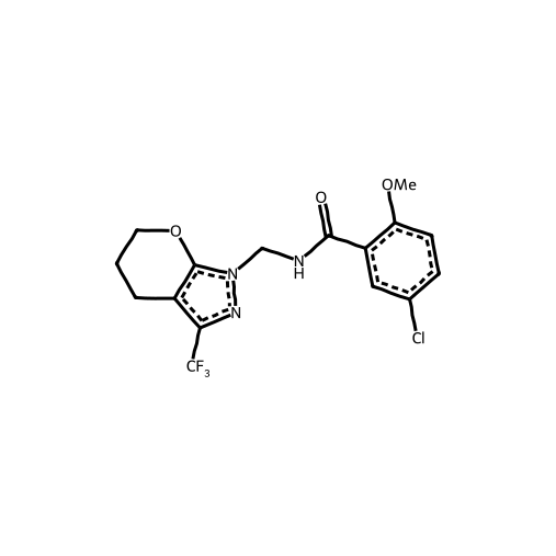 COc1ccc(Cl)cc1C(=O)NCn1nc(C(F)(F)F)c2c1OCCC2